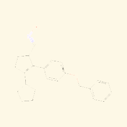 ON=CC1CCC(C2CCCC2)=C1c1ccc(OCc2ccccc2)cc1